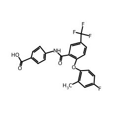 Cc1cc(F)ccc1Oc1ccc(C(F)(F)F)cc1C(=O)Nc1ccc(C(=O)O)cc1